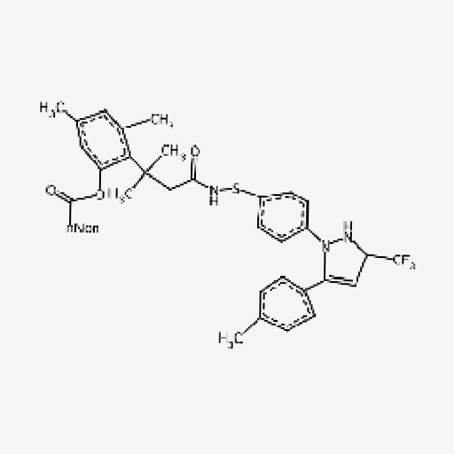 CCCCCCCCCC(=O)Oc1cc(C)cc(C)c1C(C)(C)CC(=O)NSc1ccc(N2NC(C(F)(F)F)C=C2c2ccc(C)cc2)cc1